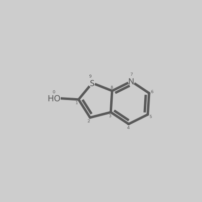 Oc1cc2cccnc2s1